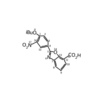 CC(C)COc1ccc(-c2nc3cccc(C(=O)O)c3o2)cc1[N+](=O)[O-]